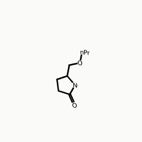 CCCOCC1CCC(=O)[N]1